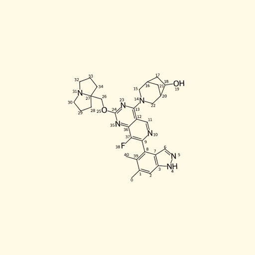 Cc1cc2[nH]ncc2c(-c2ncc3c(N4CC5CC(O)C(C5)C4)nc(OCC45CCCN4CCC5)nc3c2F)c1C